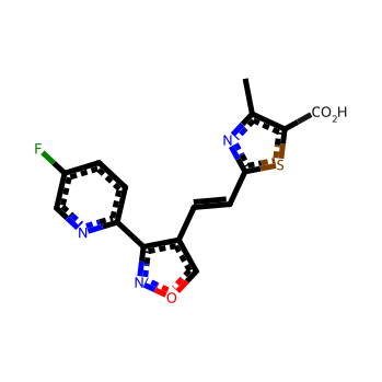 Cc1nc(/C=C/c2conc2-c2ccc(F)cn2)sc1C(=O)O